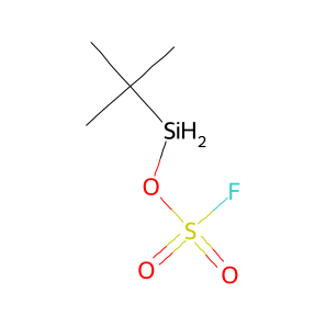 CC(C)(C)[SiH2]OS(=O)(=O)F